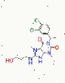 CC(c1ccc(Cl)c(Cl)c1)N1C(=O)C2C(NC(NCCCO)N2C)N(C)C1=O